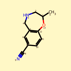 CC1CNCc2cc(C#N)ccc2O1